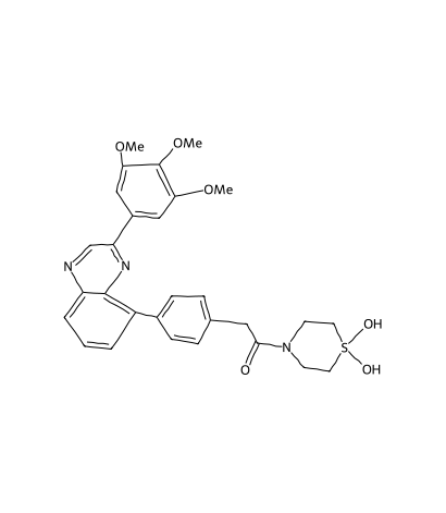 COc1cc(-c2cnc3cccc(-c4ccc(CC(=O)N5CCS(O)(O)CC5)cc4)c3n2)cc(OC)c1OC